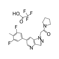 Cc1c(F)cc(-c2cnc3cnn(CC(=O)N4CCCC4)c3c2)cc1F.O=C(O)C(F)(F)F